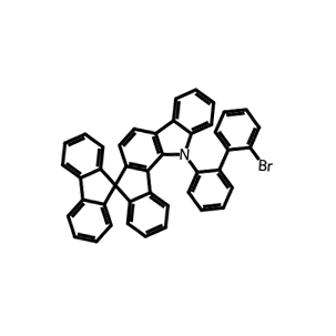 Brc1ccccc1-c1ccccc1-n1c2ccccc2c2ccc3c(c21)-c1ccccc1C31c2ccccc2-c2ccccc21